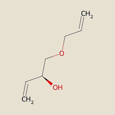 C=CCOC[C@@H](O)C=C